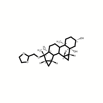 C[C@]12CCC3C(C1[C@@H]1C[C@@H]1[C@]2(C)OCC1OCCO1)[C@H]1C[C@H]1[C@]1(O)C[C@@H](O)CC[C@]31C